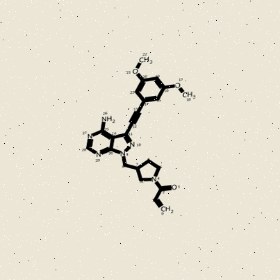 C=CC(=O)N1CCC(Cn2nc(C#Cc3cc(OC)cc(OC)c3)c3c(N)ncnc32)C1